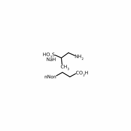 CC(CN)S(=O)(=O)O.CCCCCCCCCCCC(=O)O.[NaH]